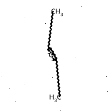 CCCCCCCCCCCCCCCCCCCCc1csc(CC(=O)Cc2cc(CCCCCCCCCCCCCCCCCCCC)cs2)c1